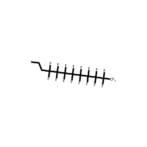 FC(F)(F)C(F)(F)C(F)(F)C(F)(F)C(F)(F)C(F)(F)C(F)(F)C(F)(F)C(F)(F)CCI